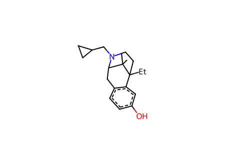 CCC12CCN(CC3CC3)C(Cc3ccc(O)cc31)C2(C)C